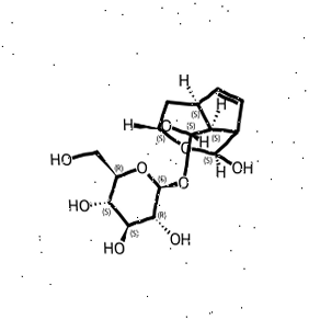 OC[C@H]1O[C@@H](O[C@@H]2O[C@H]3C[C@H]4C=CC([C@@H]24)[C@@H](O)O3)[C@H](O)[C@@H](O)[C@@H]1O